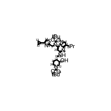 CC(C)c1cnn2c(N(Cc3nc(C4CC4)cs3)C(=O)OC(C)(C)C)cc(NC[C@H]3CCN(C(=O)OC(C)(C)C)C[C@@H]3O)nc12